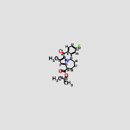 Cc1cc2n(c1C(=O)c1ccc(F)cc1)CCCCC2C(=O)OC(C)C